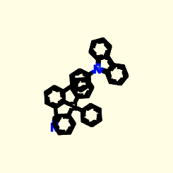 N#Cc1cccc(-c2ccc(-n3c4ccccc4c4ccccc43)cc2)c1[Si](c1ccccc1)(c1ccccc1)c1ccccc1